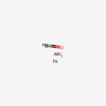 [AlH3].[Fe].[Hg].[O]=[AlH]